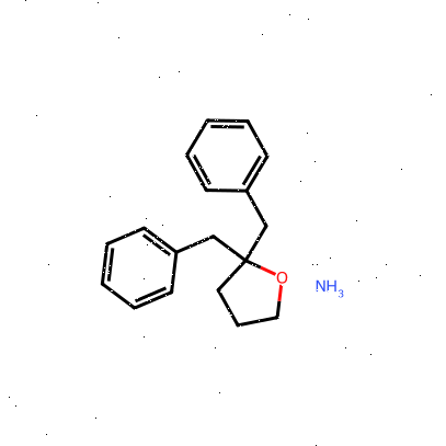 N.c1ccc(CC2(Cc3ccccc3)CCCO2)cc1